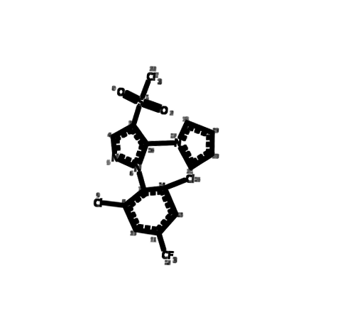 O=S(=O)(c1cnn(-c2c(Cl)cc(C(F)(F)F)cc2Cl)c1-n1cccc1)C(F)(F)F